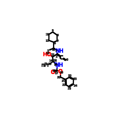 C=C=C(N[C@@H](C)C1CCCCC1)C(O)[C@H](CCC)NC(=O)OCc1ccccc1